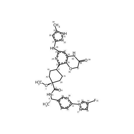 CO[C@]1(C(=O)N[C@@H](C)c2ccc(-n3cc(F)cn3)nc2)CC[C@H](c2nc(Nc3cc(C)[nH]n3)cc3c2OCC(=O)N3)CC1